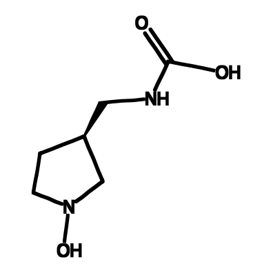 O=C(O)NC[C@@H]1CCN(O)C1